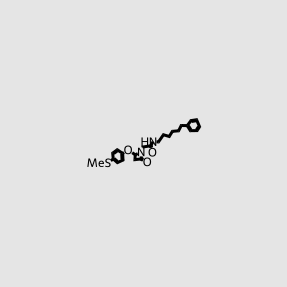 CSc1ccc(OC2CC(=O)N2CC(=O)NCCCCCCc2ccccc2)cc1